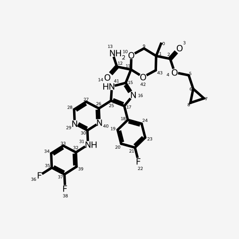 CC1(C(=O)OCC2CC2)COC(C(N)=O)(c2nc(-c3ccc(F)cc3)c(-c3ccnc(Nc4ccc(F)c(F)c4)n3)[nH]2)OC1